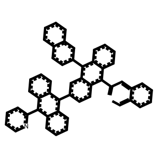 C=C(/C=c1/cccc/c1=C/C)c1c2ccccc2c(-c2ccc3ccccc3c2)c2cc(-c3c4ccccc4c(-c4ccccn4)c4ccccc34)ccc12